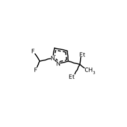 CCC(C)(CC)c1ccn(C(F)F)n1